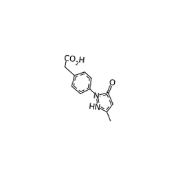 Cc1cc(=O)n(-c2ccc(CC(=O)O)cc2)[nH]1